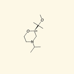 COC(C)(C)[C@H]1CN(C(C)C)CCO1